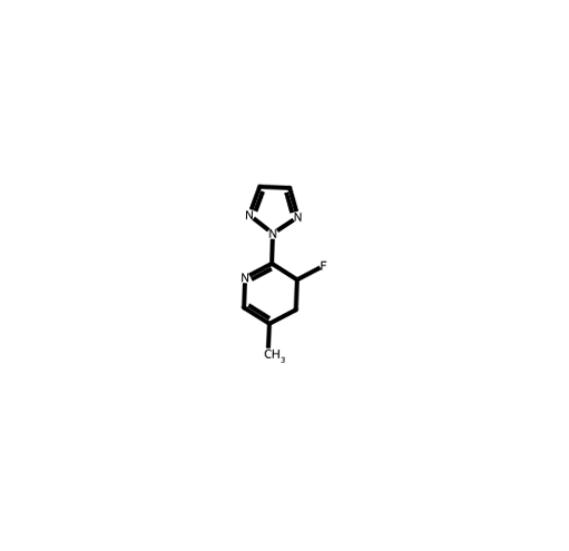 CC1=CN=C(n2nccn2)C(F)C1